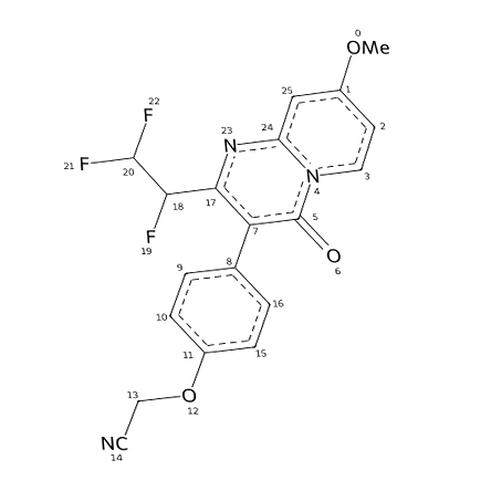 COc1ccn2c(=O)c(-c3ccc(OCC#N)cc3)c(C(F)C(F)F)nc2c1